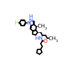 CCCC(C[C@H]1CCC2=C1[C@@H](C)C1=CNN(c3ccc(F)cc3)C1=C2)NC(=O)CCC1CCCC1